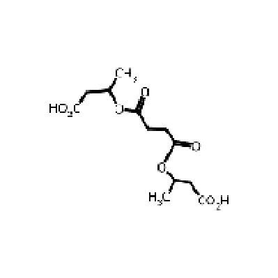 CC(CC(=O)O)OC(=O)CCC(=O)OC(C)CC(=O)O